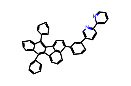 c1ccc(-c2c3c(c(-c4ccccc4)c4ccccc24)-c2ccc(-c4cccc(-c5ccc(-c6ccccn6)nc5)c4)c4cccc-3c24)cc1